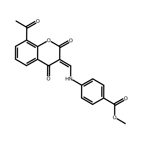 COC(=O)c1ccc(NC=C2C(=O)Oc3c(C(C)=O)cccc3C2=O)cc1